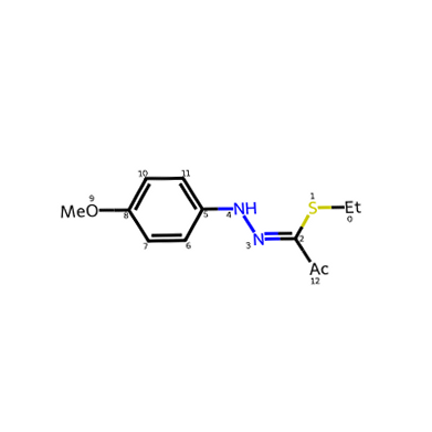 CCSC(=NNc1ccc(OC)cc1)C(C)=O